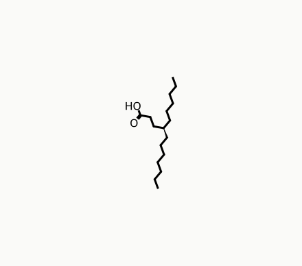 CCCCCCC[C@H](CCCCCC)CCC(=O)O